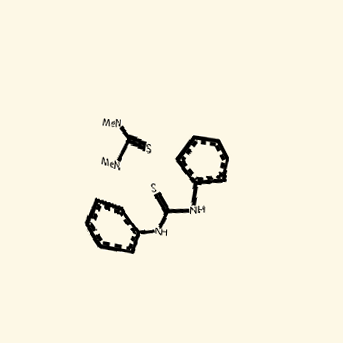 CNC(=S)NC.S=C(Nc1ccccc1)Nc1ccccc1